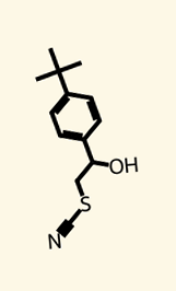 CC(C)(C)c1ccc(C(O)CSC#N)cc1